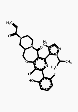 C=CC(=O)N1CCN2C(=O)c3c(-c4c(C)cnn4C(C)C)nc(-c4c(O)cccc4F)c(Cl)c3OCC2C1